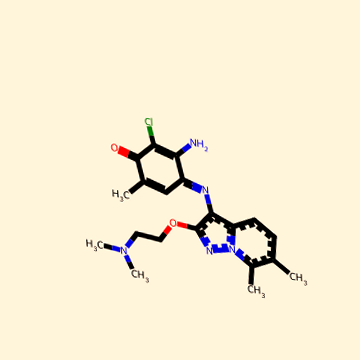 CC1=C/C(=N\c2c(OCCN(C)C)nn3c(C)c(C)ccc23)C(N)=C(Cl)C1=O